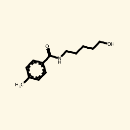 Cc1ccc(C(=O)NCCCCCO)cc1